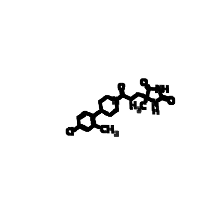 Cc1cc(Cl)ccc1C1CCN(C(=O)CCC2(C)NC(=O)NC2=O)CC1